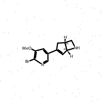 COc1cc(C2=C[C@H]3NC[C@H]3C2)cnc1Br